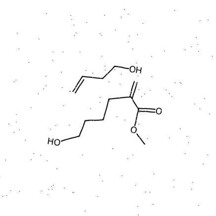 C=C(CCCCO)C(=O)OC.[CH]=CCCO